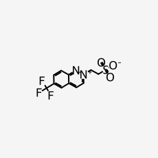 O=S(=O)([O-])CC[n+]1ccc2cc(C(F)(F)F)ccc2n1